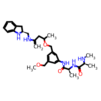 C=C(CC(C)OCc1cc(COC)cc(NC(=O)[C@H](C)NC(=O)[C@H](C)NC)c1)NC[C@@H]1Cc2ccccc2N1